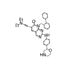 CCN(C#Cc1cc2cnc(Nc3ccc(C4CNCCO4)cc3)nc2n(Cc2ccccc2-c2ccccc2)c1=O)CC